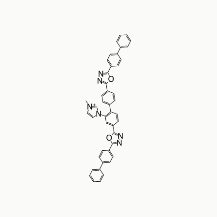 C[n+]1ccn(-c2cc(-c3nnc(-c4ccc(-c5ccccc5)cc4)o3)ccc2-c2ccc(-c3nnc(-c4ccc(-c5ccccc5)cc4)o3)cc2)c1